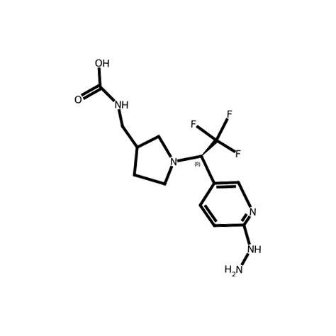 NNc1ccc([C@@H](N2CCC(CNC(=O)O)C2)C(F)(F)F)cn1